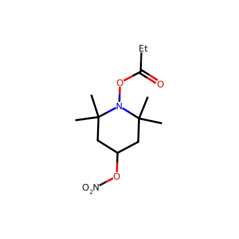 CCC(=O)ON1C(C)(C)CC(O[N+](=O)[O-])CC1(C)C